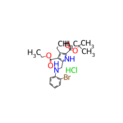 CCOC(=O)c1c(CNc2ccccc2Br)[nH]c(C(=O)OC(C)(C)C)c1CC.Cl